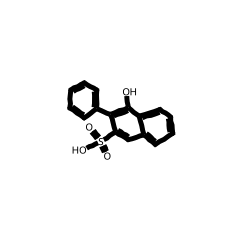 O=S(=O)(O)c1cc2ccccc2c(O)c1-c1ccccc1